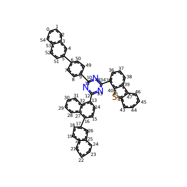 c1ccc2cc(-c3ccc(-c4nc(-c5ccc(-c6ccc7ccccc7c6)c6ccccc56)nc(-c5cccc6c5sc5ccccc56)n4)cc3)ccc2c1